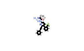 CC(N)C(=O)Nc1ccc(-c2ccccc2C(F)(F)F)c(C#Cc2ccccc2)n1